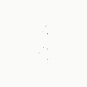 N#Cc1ccc(-c2ccc(/C(CCC(=O)O)=N/O)c(F)c2)cc1